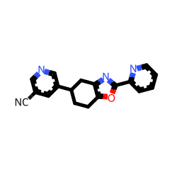 N#Cc1cncc(C2CCc3oc(-c4ccccn4)nc3C2)c1